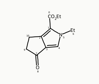 CCOC(=O)c1c2c(cn1CC)C(=O)CC2